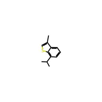 Cc1csc2c(C(C)C)cccc12